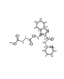 COC(=O)CCC(=O)OCn1c([S+]([O-])Cc2ccccn2)nc2ccccc21